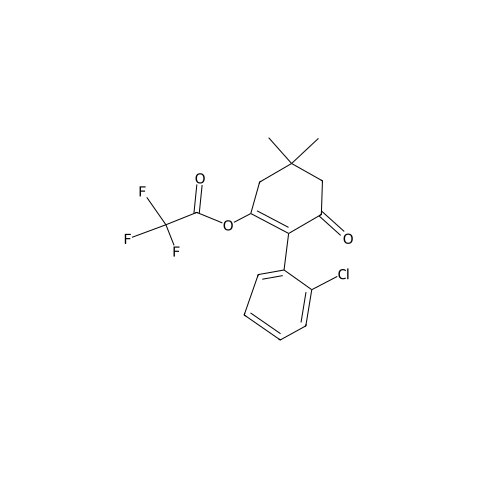 CC1(C)CC(=O)C(c2ccccc2Cl)=C(OC(=O)C(F)(F)F)C1